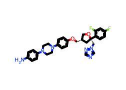 Nc1ccc(N2CCN(c3ccc(OC[C@@H]4CO[C@@](Cn5cncn5)(c5ccc(F)cc5F)C4)cc3)CC2)cc1